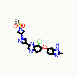 CCS(=O)(=O)N1CC(n2cc(-c3cnc4ccc(Oc5ccc6nc(C)[nH]c6c5)c(Cl)c4n3)cn2)C1